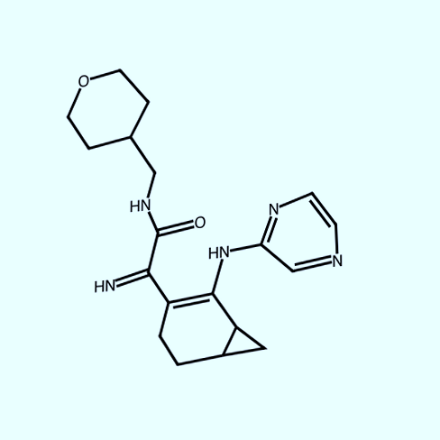 N=C(C(=O)NCC1CCOCC1)C1=C(Nc2cnccn2)C2CC2CC1